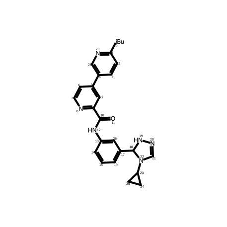 CCC(C)c1ccc(-c2ccnc(C(=O)Nc3cccc(C4NN=CN4C4CC4)c3)c2)cn1